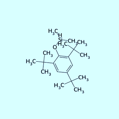 C[SiH](C)Oc1c(C(C)(C)C)cc(C(C)(C)C)cc1C(C)(C)C